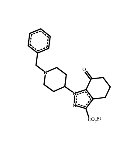 CCOC(=O)c1nn(C2CCN(Cc3ccccc3)CC2)c2c1CCCC2=O